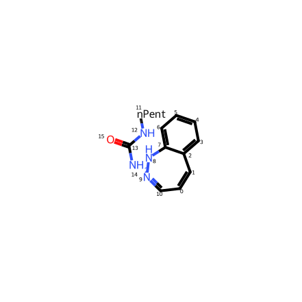 C1=Cc2ccccc2NN=C1.CCCCCNC(N)=O